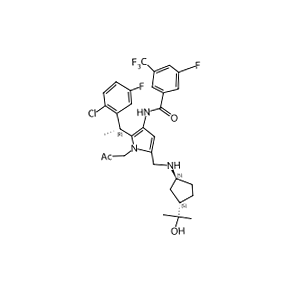 CC(=O)Cn1c(CN[C@H]2CC[C@H](C(C)(C)O)C2)cc(NC(=O)c2cc(F)cc(C(F)(F)F)c2)c1[C@H](C)c1cc(F)ccc1Cl